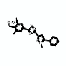 Cc1cc(-c2nnc(-c3cc(-c4ccccc4)n(C)n3)o2)cc(C)c1C[C]=O